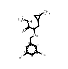 CNC(=O)C(CC1CC1C)OCc1cc(F)cc(F)c1